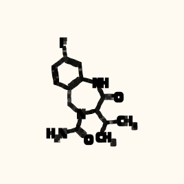 CC(C)C1C(=O)Nc2cc(F)ccc2CN1C(N)=O